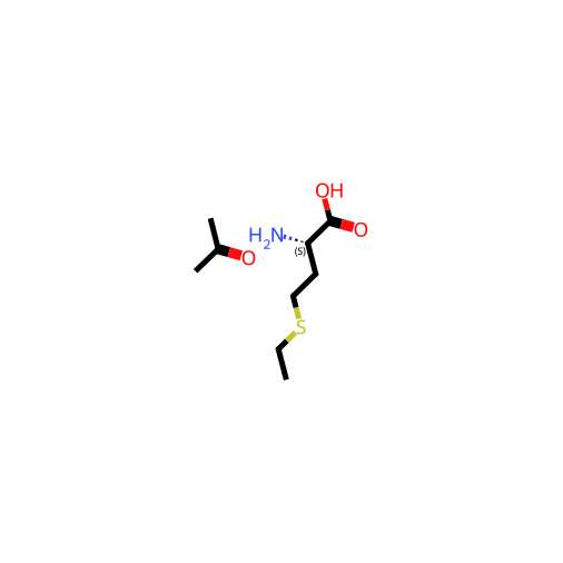 CC(C)=O.CCSCC[C@H](N)C(=O)O